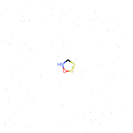 C1NOSS1